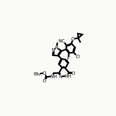 Cn1ncc(-c2ccc3c(=O)[nH]nc(CNC(=O)OC(C)(C)C)c3c2)c1-c1c(F)c(Cl)cc(OC2(C)CC2)c1C#N